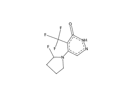 O=c1[nH]ncc(N2CCC[C]2F)c1C(F)(F)F